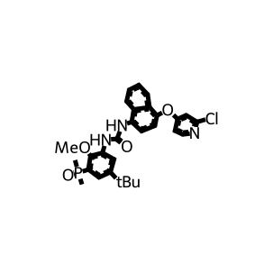 COc1c(NC(=O)Nc2ccc(Oc3ccnc(Cl)c3)c3ccccc23)cc(C(C)(C)C)cc1P(C)(C)=O